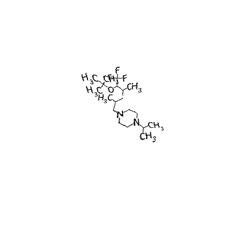 CC(CC(C)C(OC(C)(C)C)C(F)(F)F)CN1CCN(C(C)C)CC1